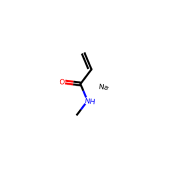 C=CC(=O)NC.[Na]